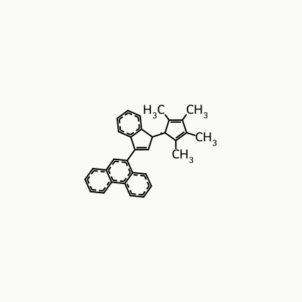 CC1=C(C)C(C)=C(C)[C]1C1C=C(c2cc3ccccc3c3ccccc23)c2ccccc21